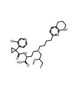 COC(CF)CN(CCCCc1ccc2c(n1)NCCC2)CCC(NC(=O)C1(c2ccncc2Cl)CC1)C(=O)O